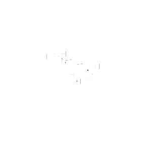 CCNCCCC(C)(C)CC